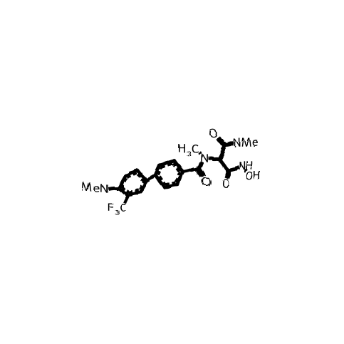 CNC(=O)C(C(=O)NO)N(C)C(=O)c1ccc(-c2ccc(NC)c(C(F)(F)F)c2)cc1